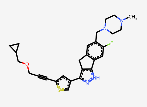 CN1CCN(Cc2cc3c(cc2F)-c2[nH]nc(-c4csc(C#CCOCC5CC5)c4)c2C3)CC1